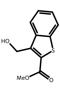 COC(=O)c1sc2ccccc2c1CO